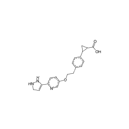 O=C(O)C1CC1c1ccc(CCOc2ccc(C3=CCNN3)nc2)cc1